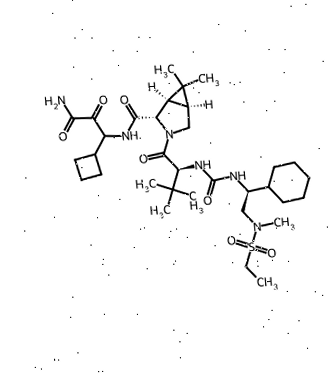 CCS(=O)(=O)N(C)C[C@@H](NC(=O)N[C@H](C(=O)N1C[C@H]2[C@@H]([C@H]1C(=O)NC(C(=O)C(N)=O)C1CCC1)C2(C)C)C(C)(C)C)C1CCCCC1